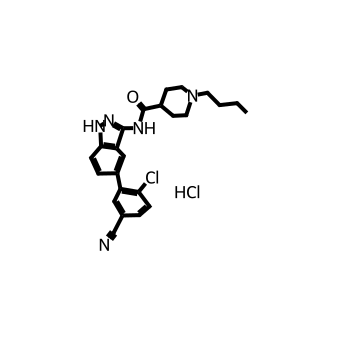 CCCCN1CCC(C(=O)Nc2n[nH]c3ccc(-c4cc(C#N)ccc4Cl)cc23)CC1.Cl